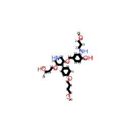 COCCCCOc1ccc([C@@H]2[C@@H](OCc3ccc(O)c(NCCCOC)c3)CNC[C@H]2OCC[C@H](C)O)cc1